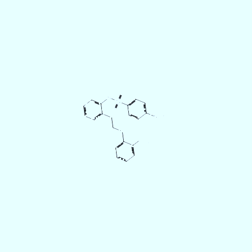 CC(=O)Nc1ccc(S(=O)(=O)Nc2ccccc2CCCc2ccccc2C(=O)O)cc1